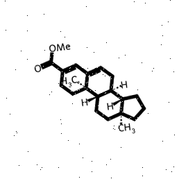 COC(=O)C1=CC2=CC[C@H]3[C@@H]4CCC[C@@]4(C)CC[C@@H]3[C@@]2(C)CC1